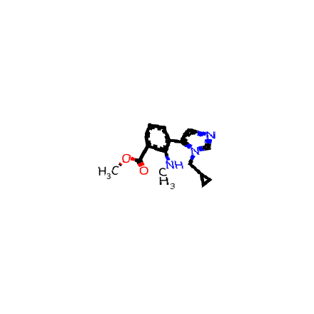 CNc1c(C(=O)OC)cccc1-c1cncn1CC1CC1